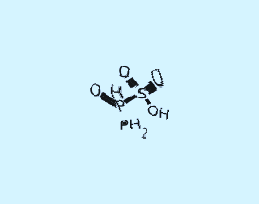 O=[PH](P)S(=O)(=O)O